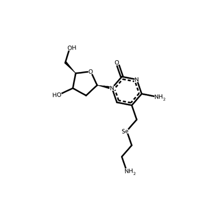 NCC[Se]Cc1cn([C@H]2CC(O)[C@@H](CO)O2)c(=O)nc1N